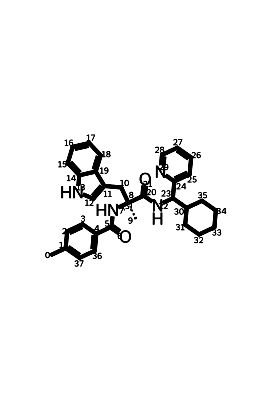 Cc1ccc(C(=O)N[C@@](C)(Cc2c[nH]c3ccccc23)C(=O)NC(c2ccccn2)C2CCCCC2)cc1